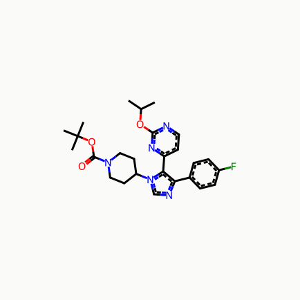 CC(C)Oc1nccc(-c2c(-c3ccc(F)cc3)ncn2C2CCN(C(=O)OC(C)(C)C)CC2)n1